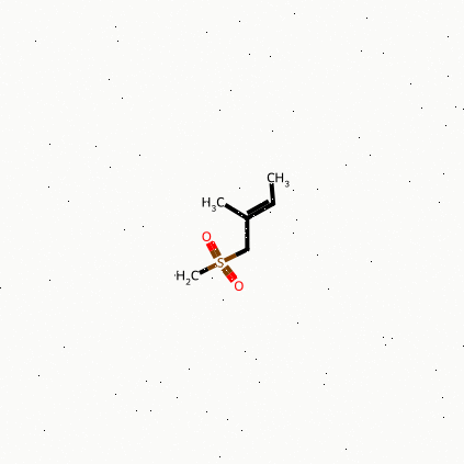 [CH2]S(=O)(=O)C/C(C)=C/C